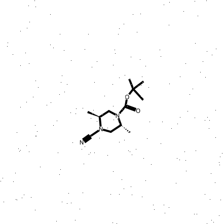 C[C@@H]1CN(C#N)[C@@H](C)CN1C(=O)OC(C)(C)C